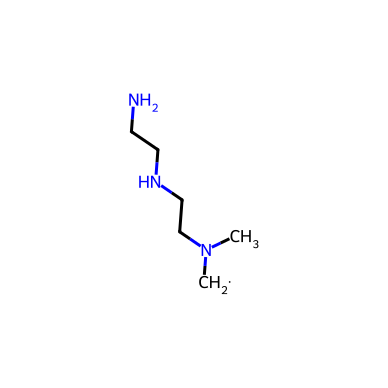 [CH2]N(C)CCNCCN